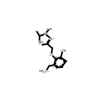 C/C(COc1c(C#N)cccc1CC(=O)O)=N\N(C(C)C)C(C)N